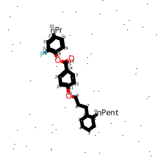 CCCCCC1CCCCC1CCCOc1ccc(C(=O)Oc2ccc(CCC)cc2F)cc1